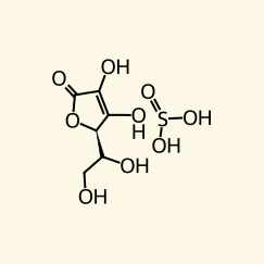 O=C1O[C@H](C(O)CO)C(O)=C1O.O=S(O)O